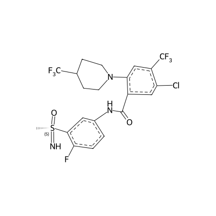 C[S@](=N)(=O)c1cc(NC(=O)c2cc(Cl)c(C(F)(F)F)cc2N2CCC(C(F)(F)F)CC2)ccc1F